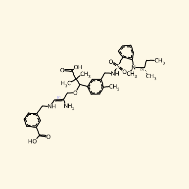 CC[C@H](C)N(C)c1ccccc1S(=O)(=O)NCc1cc(C(OC/C(N)=C/NCc2cccc(C(=O)O)c2)C(C)(C)C(=O)O)ccc1C